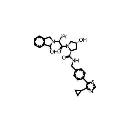 CC(C)[C@@H](C(=O)N1C[C@H](O)C[C@H]1C(=O)NCc1ccc(-c2scnc2C2CC2)cc1)N1Cc2ccccc2C1O